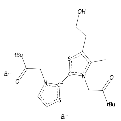 Cc1c(CCO)s[c+](-[c+]2sccn2CC(=O)C(C)(C)C)n1CC(=O)C(C)(C)C.[Br-].[Br-]